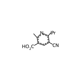 Cc1nc(C(C)C)c(C#N)cc1C(=O)O